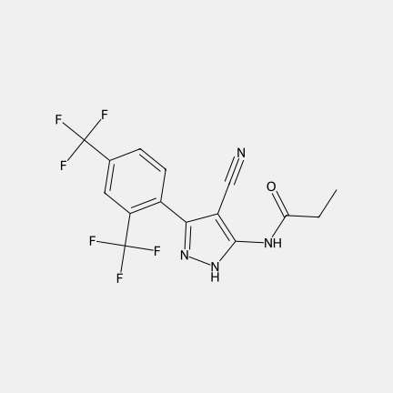 CCC(=O)Nc1[nH]nc(-c2ccc(C(F)(F)F)cc2C(F)(F)F)c1C#N